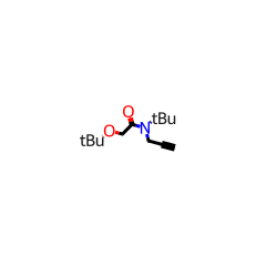 C#CCN(C(=O)COC(C)(C)C)C(C)(C)C